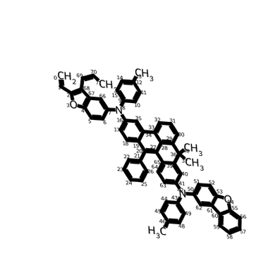 C=Cc1oc2ccc(N(c3ccc(C)cc3)c3ccc4c(-c5ccccc5)c5c6c(cccc6c4c3)C(C)(C)c3cc(N(c4ccc(C)cc4)c4ccc6oc7ccccc7c6c4)ccc3-5)cc2c1/C=C\C